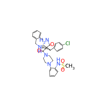 CS(=O)(=O)Nc1ccccc1N1CCN(C(=O)[C@@](Cc2ccc(Cl)cc2)(C(N)=O)[C@H]2Cc3ccccc3CN2)CC1